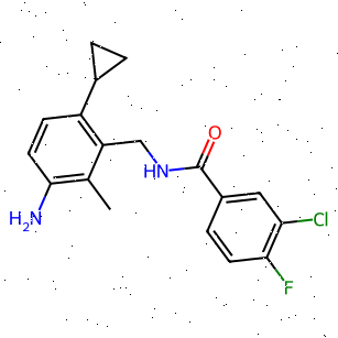 Cc1c(N)ccc(C2CC2)c1CNC(=O)c1ccc(F)c(Cl)c1